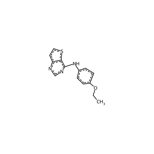 CCOc1ccc(Nc2ncnc3ccsc23)cc1